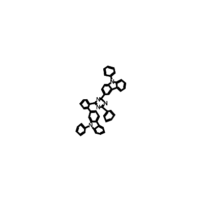 c1ccc(-c2nc(-c3ccc4c(c3)c3ccccc3n4-c3ccccc3)nc(-c3ccccc3-c3ccc4c5ccccc5n(-c5ccccc5)c4c3)n2)cc1